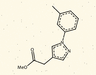 COC(=O)Cc1cnn(-c2cccc(C)c2)c1